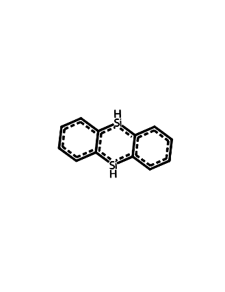 c1ccc2[siH]c3ccccc3[siH]c2c1